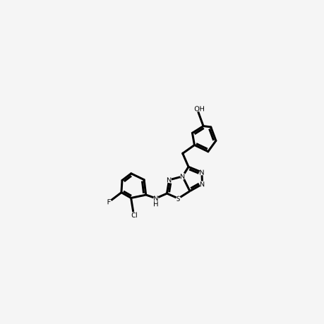 Oc1cccc(Cc2nnc3sc(Nc4cccc(F)c4Cl)nn23)c1